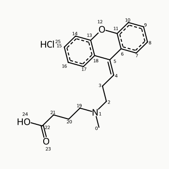 CN(CCC=C1c2ccccc2Oc2ccccc21)CCCC(=O)O.Cl